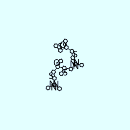 c1ccc(-c2nc(-c3ccccc3)nc(-c3ccc4c(c3)sc3ccc(-c5cc(-c6ccc(-c7cccc(-c8nc(-c9ccccc9)nc(-c9ccc%10c(c9)sc9ccc(-c%11cc(-c%12cccc%13c%12sc%12ccccc%12%13)c%12oc%13ccccc%13c%12c%11)cc9%10)n8)c7)c7sc8ccccc8c67)c6c(c5)oc5ccccc56)cc34)n2)cc1